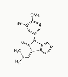 COc1ccc(N2C(=O)/C(=C\N(C)C)c3ccccc32)cc1C(C)C